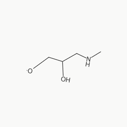 CNCC(O)C[O]